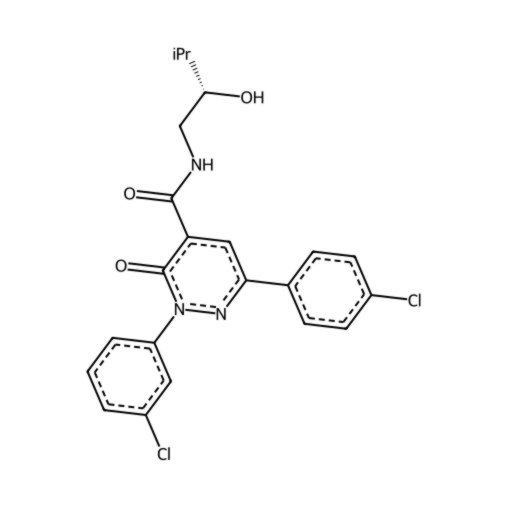 CC(C)[C@H](O)CNC(=O)c1cc(-c2ccc(Cl)cc2)nn(-c2cccc(Cl)c2)c1=O